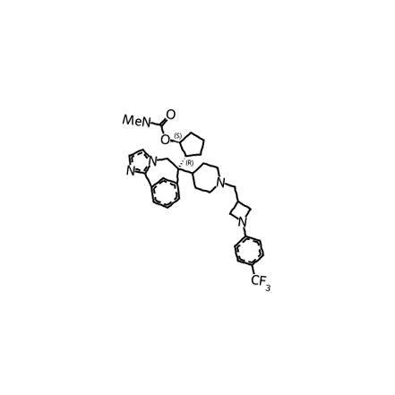 CNC(=O)O[C@H]1CCC[C@@H]1C1(C2CCN(CC3CN(c4ccc(C(F)(F)F)cc4)C3)CC2)Cn2ccnc2-c2cccc1c2